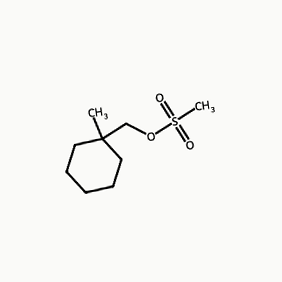 CC1(COS(C)(=O)=O)CCCCC1